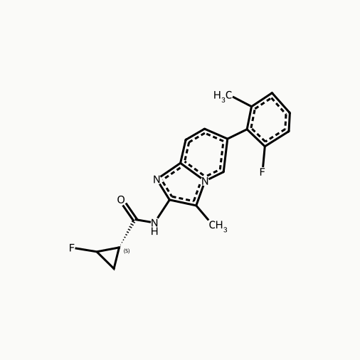 Cc1cccc(F)c1-c1ccc2nc(NC(=O)[C@@H]3CC3F)c(C)n2c1